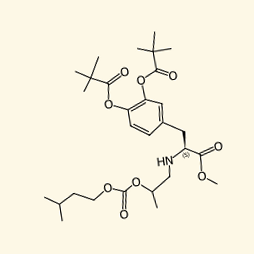 COC(=O)[C@H](Cc1ccc(OC(=O)C(C)(C)C)c(OC(=O)C(C)(C)C)c1)NCC(C)OC(=O)OCCC(C)C